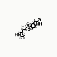 O=C1Cc2cc(S(=O)(=O)NCCC3CNCCO3)ccc2N1